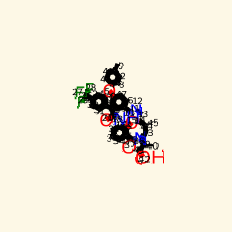 Cc1ccc(Oc2ccc(CN(C)C[C@H]3Oc4c(NC(=O)Cc5ccc(C(F)(F)F)cc5)cccc4C(=O)N([C@@H](C)CO)C[C@H]3C)cc2)cc1